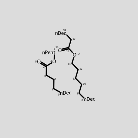 CCCCCCCCCCCCCC(=O)OCCCCC.CCCCCCCCCCCCCCCOC(=O)CCCCCCCCCCC